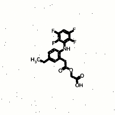 CCc1ccc(Nc2c(F)c(F)cc(F)c2F)c(CC(=O)OCC(=O)O)c1